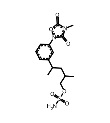 CC(COS(N)(=O)=O)CC(C)c1cccc(-n2oc(=O)n(C)c2=O)c1